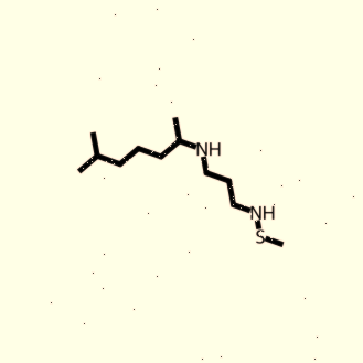 CSNCCCNC(C)CCCC(C)C